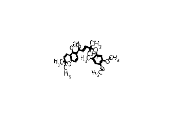 COc1cc(C)c(OC(C)(C)/C=C/C(=O)c2ccc3c(c2OC)C=CC(C)(C)O3)cc1OC